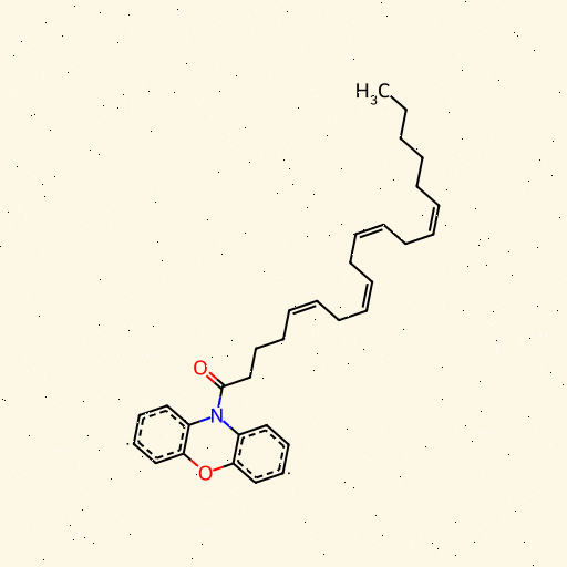 CCCCC/C=C\C/C=C\C/C=C\C/C=C\CCCC(=O)N1c2cc[c]cc2Oc2c[c]ccc21